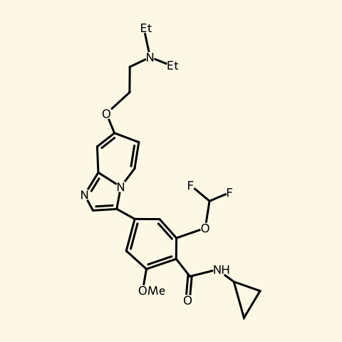 CCN(CC)CCOc1ccn2c(-c3cc(OC)c(C(=O)NC4CC4)c(OC(F)F)c3)cnc2c1